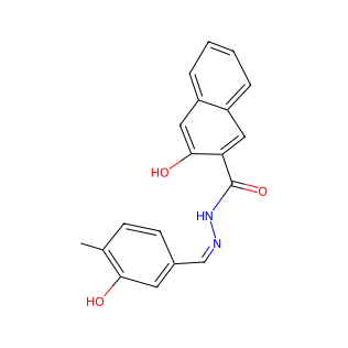 Cc1ccc(/C=N\NC(=O)c2cc3ccccc3cc2O)cc1O